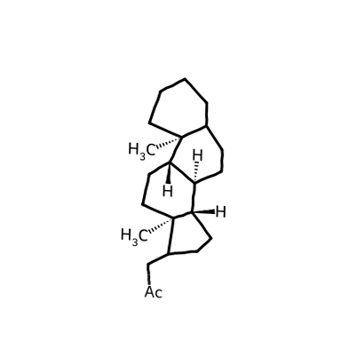 CC(=O)CC1CC[C@H]2[C@@H]3CCC4CCCC[C@]4(C)[C@H]3CC[C@]12C